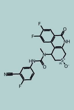 CN(C(=O)Nc1ccc(F)c(C#N)c1)C1C[S@+]([O-])Cc2[nH]c(=O)c3cc(F)c(F)cc3c21